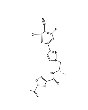 C=C(C)c1nc(C(=O)N[C@@H](C)Cn2ccc(-c3cc(F)c(C#N)c(Cl)c3)n2)co1